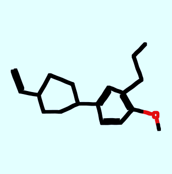 C=CC1CCC(c2ccc(OC)c(CCC)c2)CC1